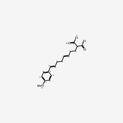 CCC(=O)C(CCC=CCCC=Cc1ccc(OC)cc1)C(=O)CC